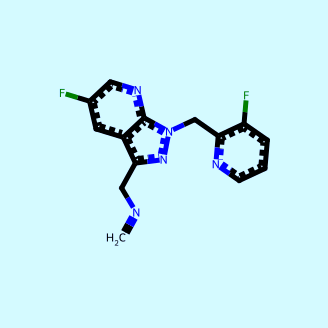 C=NCc1nn(Cc2ncccc2F)c2ncc(F)cc12